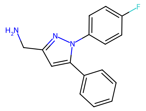 NCc1cc(-c2ccccc2)n(-c2ccc(F)cc2)n1